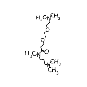 CN(C)CCCN(C)C(=O)CCOCCOCCN(C)C